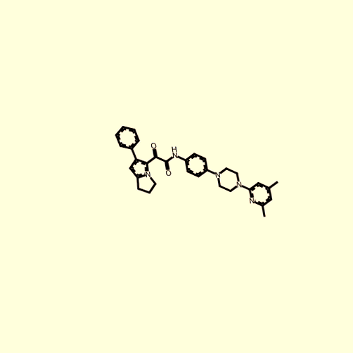 Cc1cc(C)nc(N2CCN(c3ccc(NC(=O)C(=O)c4c(-c5ccccc5)cc5n4CCC5)cc3)CC2)c1